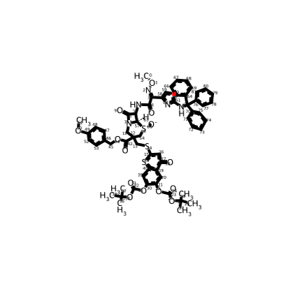 CON=C(C(=O)NC1C(=O)N2CC(CSc3cc(=O)c4cc(OC(=O)OC(C)(C)C)c(OC(=O)OC(C)(C)C)cc4s3)(C(=O)OCc3ccc(OC)cc3)C[S+]([O-])[C@H]12)c1csc(NC(c2ccccc2)(c2ccccc2)c2ccccc2)n1